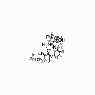 Cc1cc(OC(F)F)cnc1C(=O)Nc1ccc(F)c([C@]2(C)CS(O)(O)C3(CC(F)(F)C3)C(N)=N2)c1